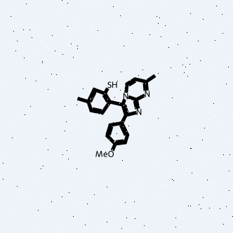 COc1ccc(-c2nc3nc(C)ccn3c2-c2ccc(C)cc2S)cc1